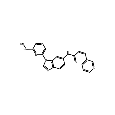 CC(C)(C)Nc1cncc(-n2cnc3ccc(NC(=O)/C=C\c4cccnc4)cc32)n1